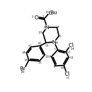 CC(C)(C)C(=O)N1CCN(c2ccc(Cl)cc2Cl)C(c2ccc(Br)cc2)C1